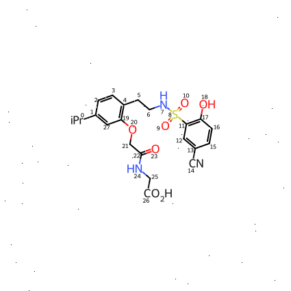 CC(C)c1ccc(CCNS(=O)(=O)c2cc(C#N)ccc2O)c(OCC(=O)NCC(=O)O)c1